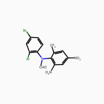 O=CN(c1ccc(Br)cc1Br)c1c([N+](=O)[O-])cc([N+](=O)[O-])cc1C(F)(F)F